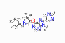 CCn1c(-c2cnc(C)nc2)nc2c(OC3CN(Cc4ccccc4)CC3(C)C)ncnc21